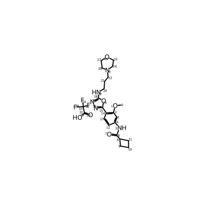 COc1cc(NC(=O)C2CCC2)ccc1-c1nnc(NCCCN2CCOCC2)o1.O=C(O)C(F)(F)F